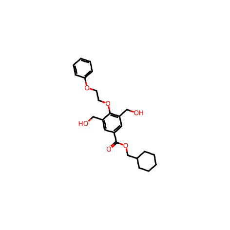 O=C(OCC1CCCCC1)c1cc(CO)c(OCCOc2ccccc2)c(CO)c1